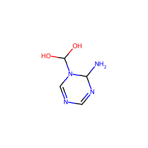 NC1N=CN=CN1C(O)O